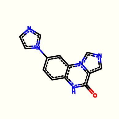 O=c1[nH]c2ccc(-n3ccnc3)cc2n2cncc12